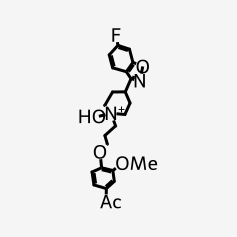 COc1cc(C(C)=O)ccc1OCCC[N+]1(O)CCC(c2noc3cc(F)ccc23)CC1